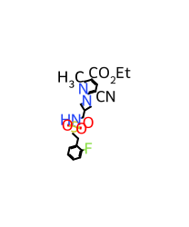 CCOC(=O)c1cc(C#N)c(N2CC(C(=O)NS(=O)(=O)CCc3ccccc3F)C2)nc1C